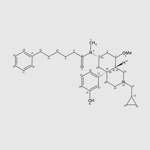 COC1C[C@@H](N(C)C(=O)CCCCCc2ccccc2)C[C@]2(c3cccc(O)c3)CCN(CC3CC3)C[C@@H]12